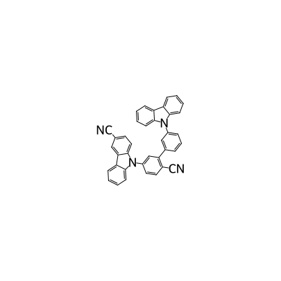 N#Cc1ccc2c(c1)c1ccccc1n2-c1ccc(C#N)c(-c2cccc(-n3c4ccccc4c4ccccc43)c2)c1